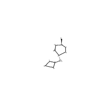 C[C@H]1CC[C@H](OC2CCC2)CC1